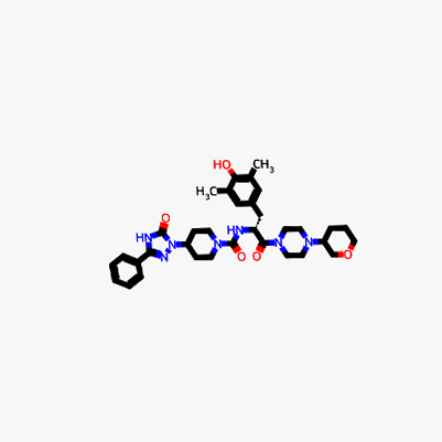 Cc1cc(C[C@@H](NC(=O)N2CCC(n3nc(-c4ccccc4)[nH]c3=O)CC2)C(=O)N2CCN(C3CCCOC3)CC2)cc(C)c1O